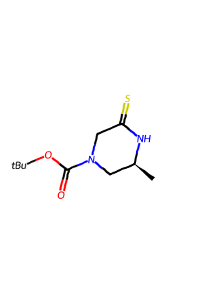 C[C@H]1CN(C(=O)OC(C)(C)C)CC(=S)N1